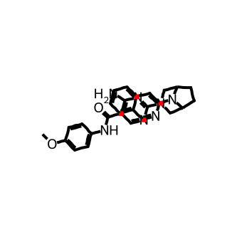 COc1ccc(NC(=O)c2cnc(N3CC4CCC(C3)N4c3cc4ccccc4cn3)nc2N)cc1